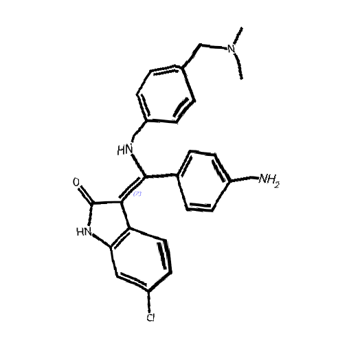 CN(C)Cc1ccc(N/C(=C2\C(=O)Nc3cc(Cl)ccc32)c2ccc(N)cc2)cc1